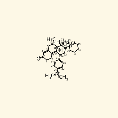 C[C@H]1CC2=CC(=O)CCC2=C2[C@@H]1[C@@H]1CCC3(CCCCO3)[C@@]1(C)C[C@@H]2c1ccc(N(C)C)cc1